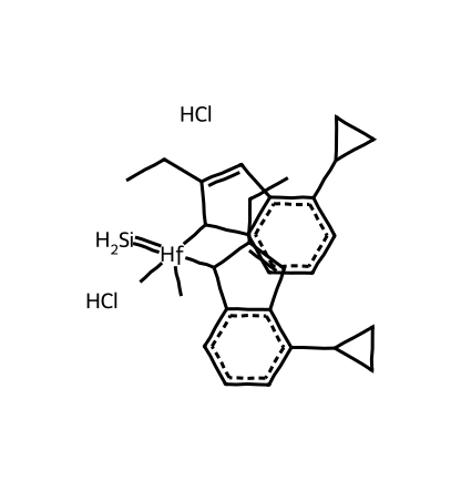 CCC1=Cc2c(C3CC3)cccc2[CH]1[Hf]([CH3])([CH3])(=[SiH2])[CH]1C(CC)=Cc2c(C3CC3)cccc21.Cl.Cl